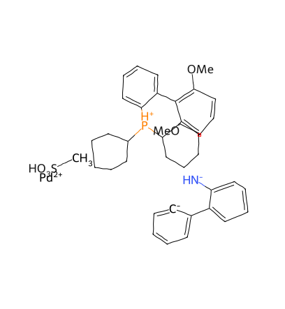 COc1cccc(OC)c1-c1ccccc1[PH+](C1CCCCC1)C1CCCCC1.CS(=O)(=O)O.[NH-]c1ccccc1-c1[c-]cccc1.[Pd+2]